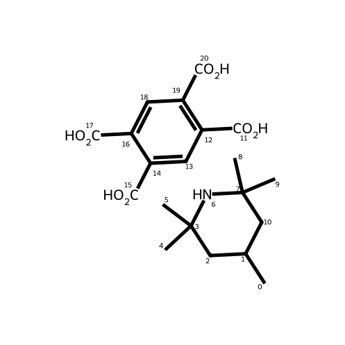 CC1CC(C)(C)NC(C)(C)C1.O=C(O)c1cc(C(=O)O)c(C(=O)O)cc1C(=O)O